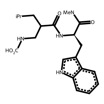 CNC(=O)[C@@H](Cc1c[nH]c2ccccc12)NC(=O)C(CNC(=O)O)CC(C)C